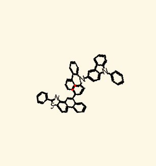 c1ccc(-c2nc3c(ccc4c5ccccc5c(-c5ccc(N(c6ccc7c(c6)c6ccccc6n7-c6ccccc6)c6ccccc6-c6ccccc6)cc5)cc43)s2)cc1